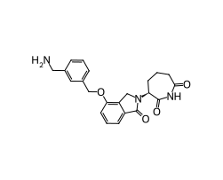 NCc1cccc(COc2cccc3c2CN([C@H]2CCCC(=O)NC2=O)C3=O)c1